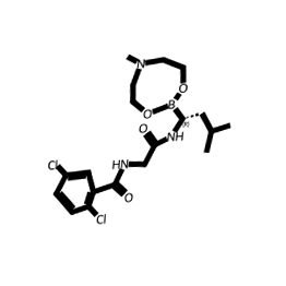 CC(C)C[C@H](NC(=O)CNC(=O)c1cc(Cl)ccc1Cl)B1OCCN(C)CCO1